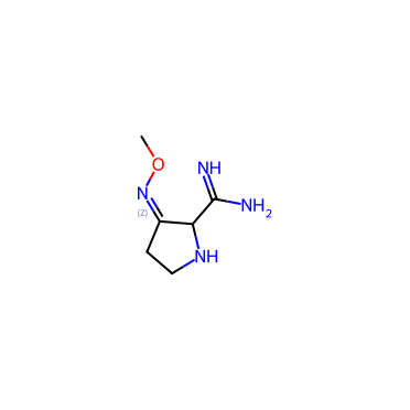 CO/N=C1/CCNC1C(=N)N